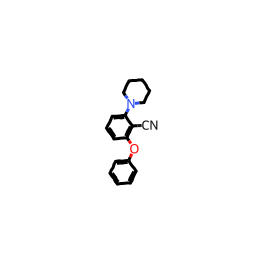 N#Cc1c(Oc2ccccc2)cccc1N1CCCCC1